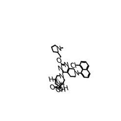 CN1CCCC1COc1nc2c(c(N3C[C@H]4CC(=O)[C@@H](C3)N4C(=O)O)n1)CCN(c1cccc3cccc(Cl)c13)C2